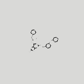 Nc1nc2nc(SCc3cccc(Oc4ccccc4)c3)nc(N[C@@H](CO)Cc3ccccc3)c2s1